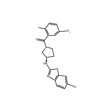 Cc1ccc(C(F)(F)F)cc1C(=O)N1CC[C@@H](Nc2nc3ccc(Cl)cc3o2)C1